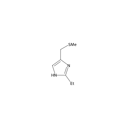 CCc1nc(CSC)c[nH]1